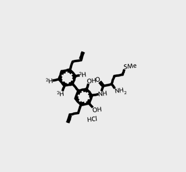 Cl.[2H]c1cc(CC=C)c([2H])c(-c2cc(CC=C)c(O)c(NC(=O)C(N)CCSC)c2O)c1[2H]